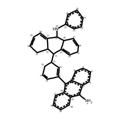 Nc1c2ccccc2c(C2=CC(C3C4=CCC=CC4C(Nc4ccccc4)C4=CC=CCC43)CC=C2)c2ccccc12